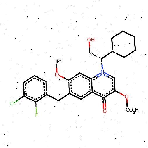 CC(C)Oc1cc2c(cc1Cc1cccc(Cl)c1F)c(=O)c(OC(=O)O)cn2[C@H](CO)C1CCCCC1